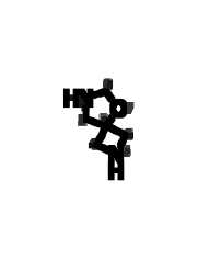 C1NCC2(CNC2)O1